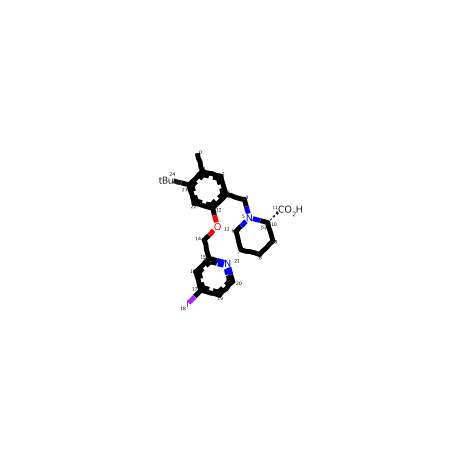 Cc1cc(CN2CCCC[C@H]2C(=O)O)c(OCc2cc(I)ccn2)cc1C(C)(C)C